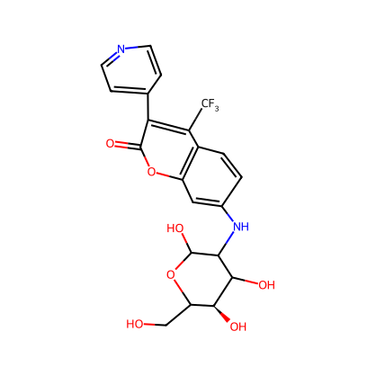 O=c1oc2cc(NC3C(O)OC(CO)[C@H](O)C3O)ccc2c(C(F)(F)F)c1-c1ccncc1